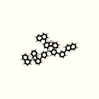 c1cc(-c2ccc(N(c3ccc(-c4cccc5c4c4ccccc4n5-c4cccc5ccccc45)cc3)c3ccc(-c4cccc5ccccc45)c4oc5ccccc5c34)cc2)cc(-c2ccc3ccccc3c2)c1